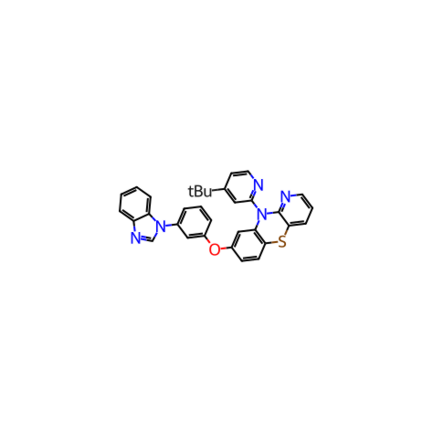 CC(C)(C)c1ccnc(N2c3cc(Oc4cccc(-n5cnc6ccccc65)c4)ccc3Sc3cccnc32)c1